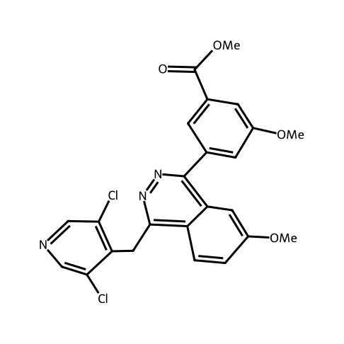 COC(=O)c1cc(OC)cc(-c2nnc(Cc3c(Cl)cncc3Cl)c3ccc(OC)cc23)c1